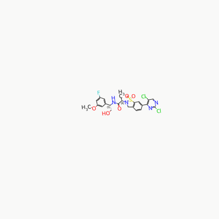 COc1cc(F)cc([C@@H](CO)NC(=O)[C@@H](C)N2Cc3ccc(-c4nc(Cl)ncc4Cl)cc3S2(=O)=O)c1